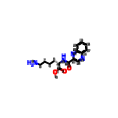 COC(=O)[C@H](CCCCN)NC(=O)c1cnc2ccccc2n1